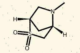 CN1C[C@@H]2C[C@H]1CS2(=O)=O